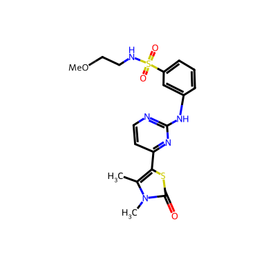 COCCNS(=O)(=O)c1cccc(Nc2nccc(-c3sc(=O)n(C)c3C)n2)c1